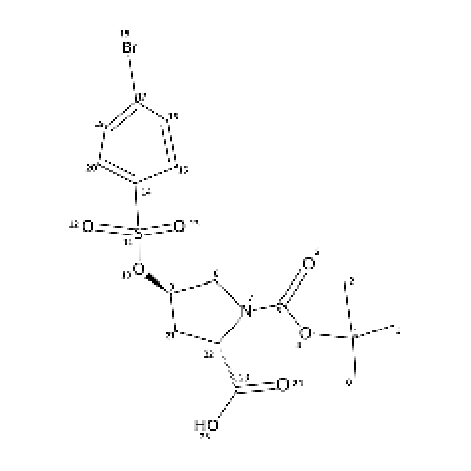 CC(C)(C)OC(=O)N1C[C@H](OS(=O)(=O)c2ccc(Br)cc2)C[C@H]1C(=O)O